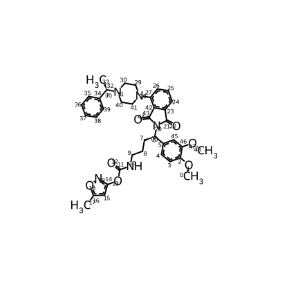 COc1ccc([C@@H](CCCNC(=O)Oc2cc(C)on2)N2C(=O)c3cccc(N4CCN([C@H](C)c5ccccc5)CC4)c3C2=O)cc1OC